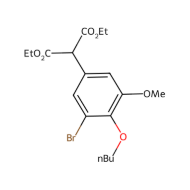 CCCCOc1c(Br)cc(C(C(=O)OCC)C(=O)OCC)cc1OC